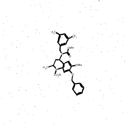 CCOC(=O)N1c2cc(OCc3ccccc3)c(OC)cc2C(N(Cc2cc(C(F)(F)F)cc(C(F)(F)F)c2)C(=O)OC)CC1C